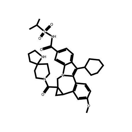 COc1ccc2c(c1)C1CC1(C(=O)N1CCC3(CCCN3)CC1)Cn1c-2c(C2CCCCC2)c2ccc(C(=O)NS(=O)(=O)C(C)C)cc21